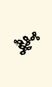 c1ccc(-n2c3ccccc3c3cc(-n4c5ccccc5c5cc(-c6c(-c7cccc8c7oc7ccccc78)ccc7c6c6ccccc6n7-c6ccccc6)ccc54)ccc32)cc1